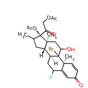 CC(=O)OCC(=O)[C@@]1(OC(C)=O)C(C)C[C@H]2[C@@H]3CC(F)C4=CC(=O)C=C[C@]4(C)[C@@]3(Br)C(O)C[C@@]21C